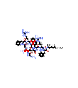 CC(=O)NCCCC[C@H](NC(=O)[C@H](Cc1ccccc1)NC(=O)[C@@H](CCCNC(=N)N)NC(=O)[C@H](Cc1ccccc1)NC(=O)[C@H](CCCCN)NC(=O)[C@H](Cc1ccccc1)NC(=O)[C@@H](CCCNC(=N)N)NC(=O)[C@H](Cc1ccccc1)NC(=O)CNC(=O)CNC(=O)CN)C(=O)O